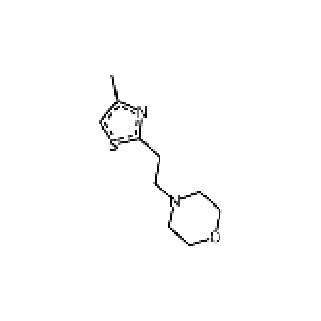 Cc1csc(CCN2CCOCC2)n1